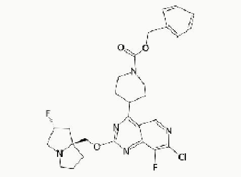 O=C(OCc1ccccc1)N1CCC(c2nc(OC[C@@]34CCCN3C[C@H](F)C4)nc3c(F)c(Cl)ncc23)CC1